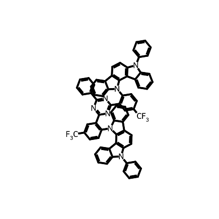 FC(F)(F)c1ccc(-n2c3ccccc3c3ccc4c(c5ccccc5n4-c4ccccc4)c32)c(-c2nc(-c3ccccc3)nc(-c3cc(C(F)(F)F)ccc3-n3c4ccccc4c4ccc5c(c6ccccc6n5-c5ccccc5)c43)n2)c1